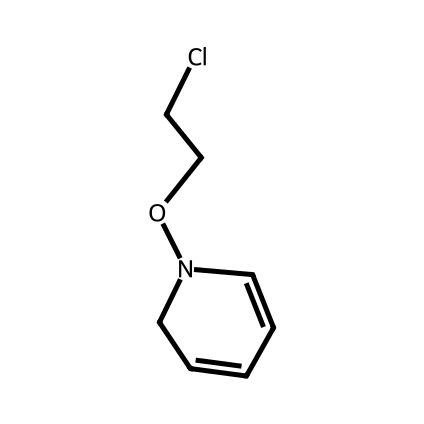 ClCCON1C=CC=CC1